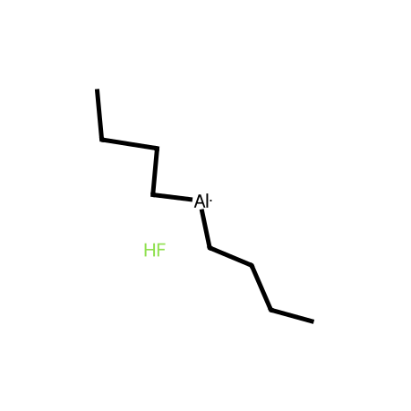 CCC[CH2][Al][CH2]CCC.F